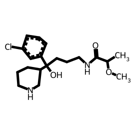 COC(C)C(=O)NCCCC(O)(c1cccc(Cl)c1)C1CCCNC1